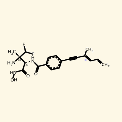 C=C/C=C(\C)C#Cc1ccc(C(=O)N[C@H](C(=O)NO)[C@](C)(N)C(F)F)cc1